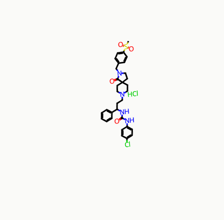 CS(=O)(=O)c1ccc(CN2CCC3(CCN(CCC(NC(=O)Nc4ccc(Cl)cc4)c4ccccc4)CC3)C2=O)cc1.Cl